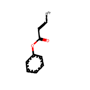 CCCC=CC(=O)Oc1ccccc1